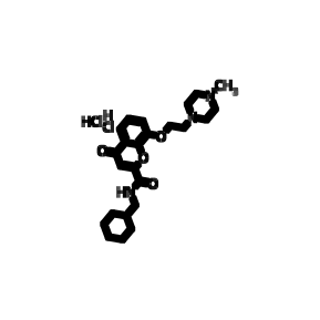 CN1CCN(CCOc2cccc3c(=O)cc(C(=O)NCC4CCCCC4)oc23)CC1.Cl.Cl